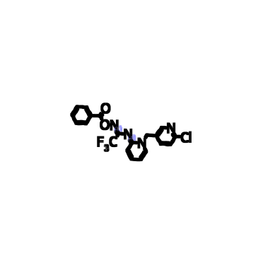 O=C(O/N=C(/N=c1\ccccn1Cc1ccc(Cl)nc1)C(F)(F)F)c1ccccc1